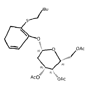 CCC(C)CSC1=C(O[C@H]2C[C@@H](OC(C)=O)[C@@H](OC(C)=O)[C@@H](COC(C)=O)O2)C=CCC1